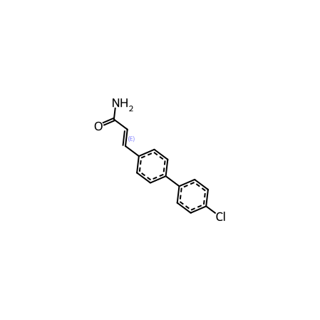 NC(=O)/C=C/c1ccc(-c2ccc(Cl)cc2)cc1